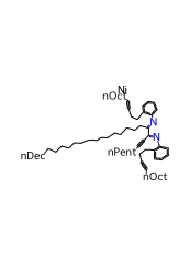 CCCCCC#CC(=Nc1ccccc1CCC#CCCCCCCCC)C(CCCCCCCCCCCCCCCCCCCCCCCCC)=Nc1ccccc1CCC#CCCCCCCCC.[Ni]